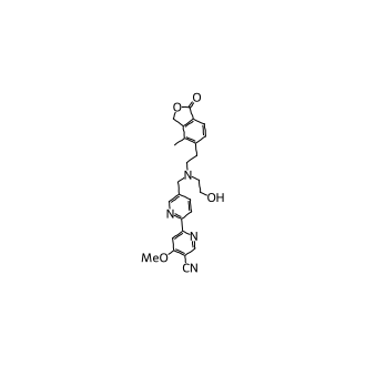 COc1cc(-c2ccc(CN(CCO)CCc3ccc4c(c3C)COC4=O)cn2)ncc1C#N